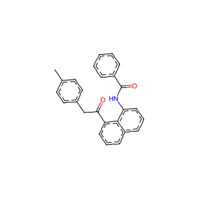 Cc1ccc(CC(=O)c2cccc3cccc(NC(=O)c4ccccc4)c23)cc1